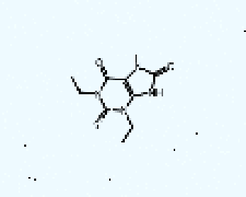 CCn1c(=O)c2[nH]c(=O)[nH]c2n(CC)c1=S